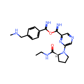 CCNC(=O)[C@@H]1CCCN1c1cncc(C(=N)OC(=N)c2ccc(CNC)cc2)n1